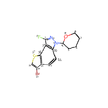 Fc1nn(C2CCCCO2)c2ccc3c(Br)csc3c12